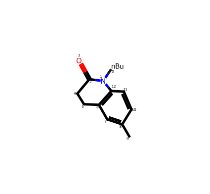 CCCCN1C(=O)CCc2cc(C)ccc21